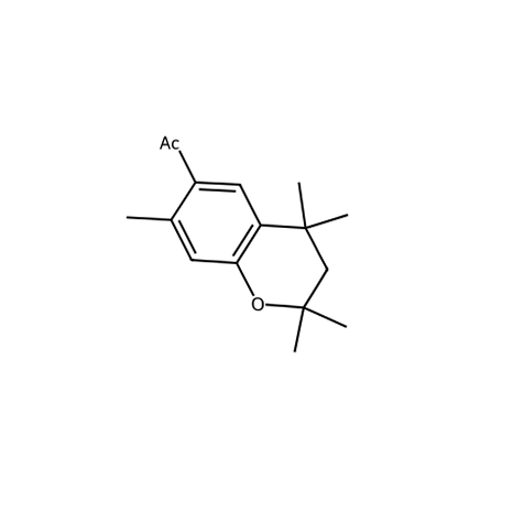 CC(=O)c1cc2c(cc1C)OC(C)(C)CC2(C)C